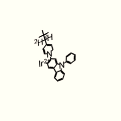 [2H]C([2H])(C1=CCN(c2cc3c(c[c]2[Ir+2])c2ccccc2n3-c2ccccc2)C=C1)C(C)(C)C